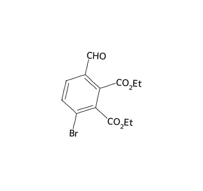 CCOC(=O)c1c(Br)ccc(C=O)c1C(=O)OCC